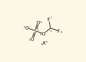 O=S(=O)([O-])OC(F)F.[K+]